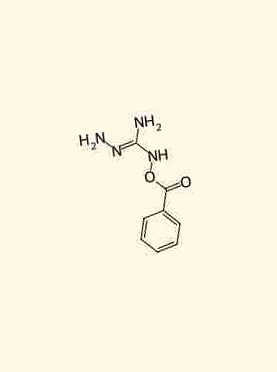 NN=C(N)NOC(=O)c1ccccc1